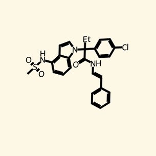 CCC(C(=O)NC=Cc1ccccc1)(c1ccc(Cl)cc1)n1ccc2c(NS(C)(=O)=O)cccc21